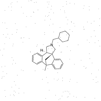 CC12C[C@@]3(CN(CC4CCCCC4)C[C@@H]3c3ccccc31)c1ccccc12